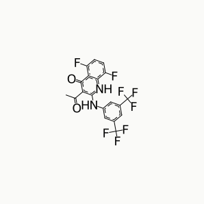 CC(=O)c1c(Nc2cc(C(F)(F)F)cc(C(F)(F)F)c2)[nH]c2c(F)ccc(F)c2c1=O